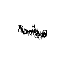 COc1nc(Nc2cnn([C@H]3CCCN(C(=O)OC(C)(C)C)CC3)c2)ncc1C(=O)Nc1c(Cl)cccc1Cl